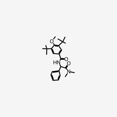 COc1c(C(C)(C)C)cc(C(=O)NC(C(=O)N(C)C)c2ccccc2)cc1C(C)(C)C